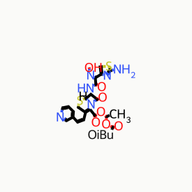 CC(C)COC(=O)OC(C)OC(=O)C1=C(/C=C\c2cccnc2)CS[C@H]2[C@H](NC(=O)C(=NO)c3csc(N)n3)C(=O)N12